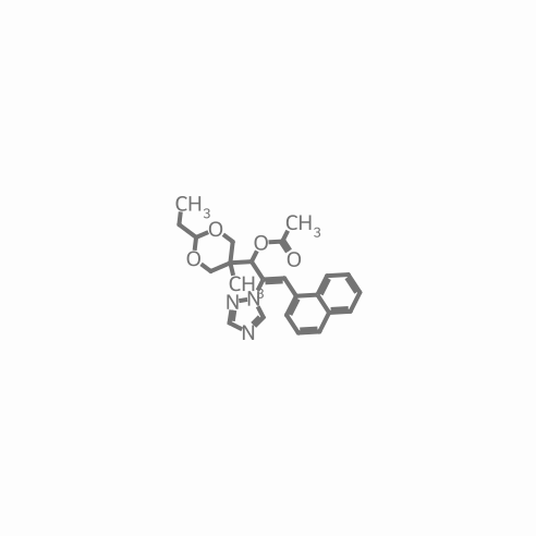 CCC1OCC(C)(C(OC(C)=O)/C(=C/c2cccc3ccccc23)n2cncn2)CO1